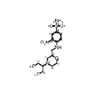 NS(=O)(=O)c1ccc(NCC2CN(C(CF)CF)CCO2)c([N+](=O)[O-])c1